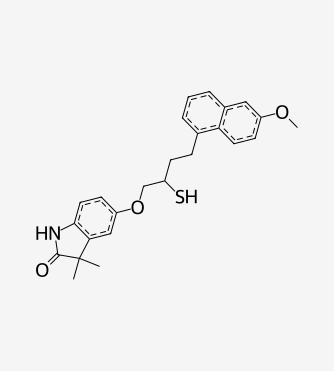 COc1ccc2c(CCC(S)COc3ccc4c(c3)C(C)(C)C(=O)N4)cccc2c1